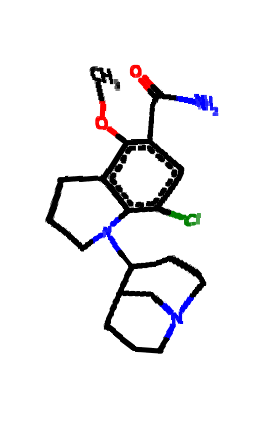 COc1c(C(N)=O)cc(Cl)c2c1CCCN2C1CCN2CCCC1C2